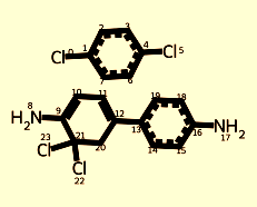 Clc1ccc(Cl)cc1.NC1=CC=C(c2ccc(N)cc2)CC1(Cl)Cl